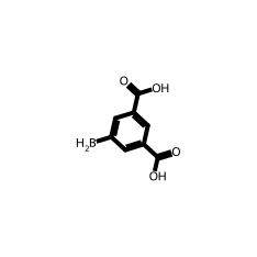 Bc1cc(C(=O)O)cc(C(=O)O)c1